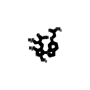 CCC(=Cc1c(C)nn(C)c1-n1ccc2ccc(OCC(C)=O)cc21)C(=O)O